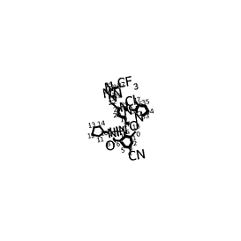 Cc1cc(C#N)cc(C(=O)NC2CCCC2)c1NC(=O)c1cc(Cn2nnc(C(F)(F)F)n2)nn1-c1ncccc1Cl